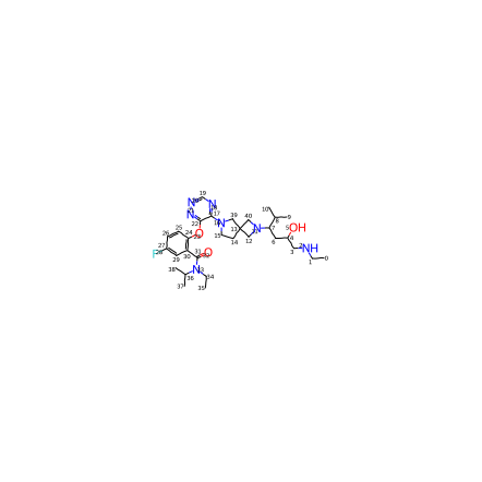 CCNCC(O)CC(C(C)C)N1CC2(CCN(c3ncnnc3Oc3ccc(F)cc3C(=O)N(CC)C(C)C)C2)C1